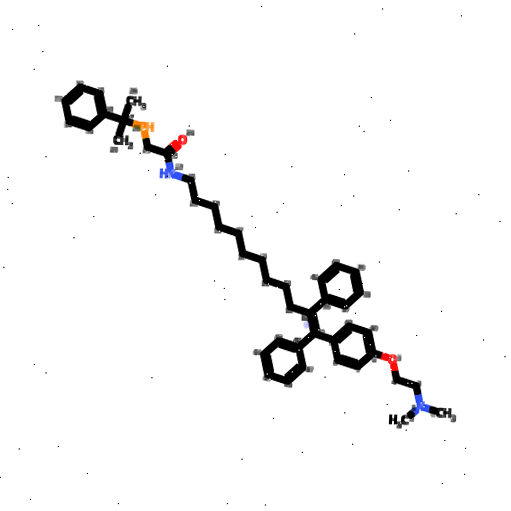 CN(C)CCOc1ccc(/C(=C(/CCCCCCCCCCNC(=O)CPC(C)(C)c2ccccc2)c2ccccc2)c2ccccc2)cc1